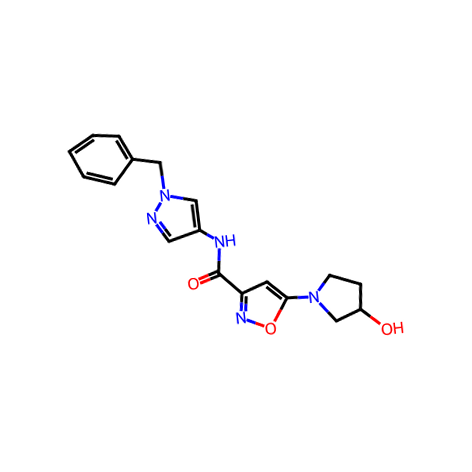 O=C(Nc1cnn(Cc2ccccc2)c1)c1cc(N2CCC(O)C2)on1